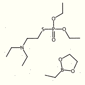 CCB1OCCO1.CCOP(=O)(OCC)SCCN(CC)CC